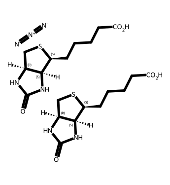 O=C(O)CCCC[C@@H]1SC[C@@H]2NC(=O)N[C@@H]21.O=C(O)CCCC[C@@H]1SC[C@@H]2NC(=O)N[C@@H]21.[N-]=[N+]=[N-]